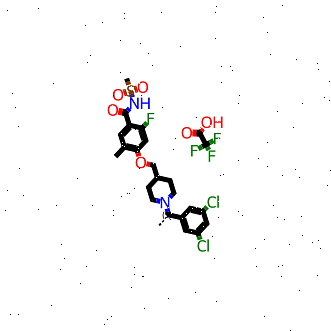 Cc1cc(C(=O)NS(C)(=O)=O)c(F)cc1OCC1CCN([C@@H](C)c2cc(Cl)cc(Cl)c2)CC1.O=C(O)C(F)(F)F